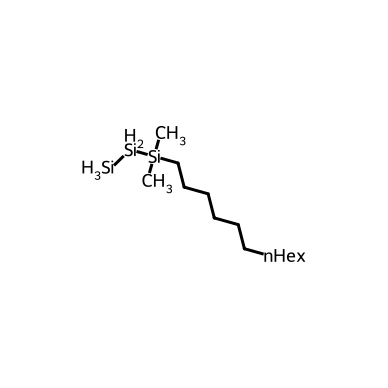 CCCCCCCCCCCC[Si](C)(C)[SiH2][SiH3]